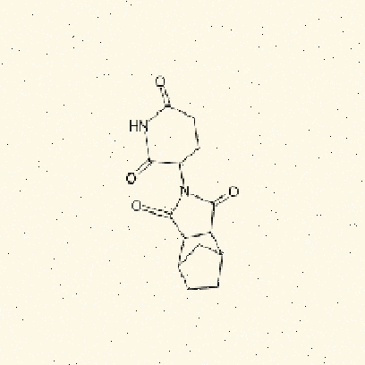 O=C1CCC(N2C(=O)C3C4CCC(C4)C3C2=O)C(=O)N1